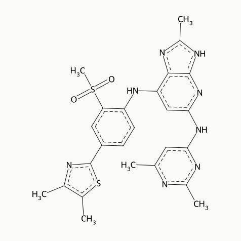 Cc1cc(Nc2cc(Nc3ccc(-c4nc(C)c(C)s4)cc3S(C)(=O)=O)c3nc(C)[nH]c3n2)nc(C)n1